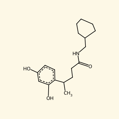 CC(CCC(=O)NCC1CCCCC1)c1ccc(O)cc1O